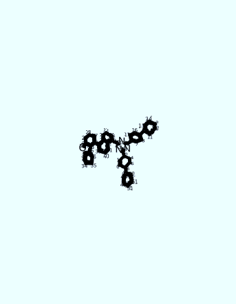 C1=CC(c2nc(-c3ccc(-c4ccccc4)cc3)nc(-c3cccc4c(-c5cccc6oc7ccccc7c56)cccc34)n2)CC=C1c1ccccc1